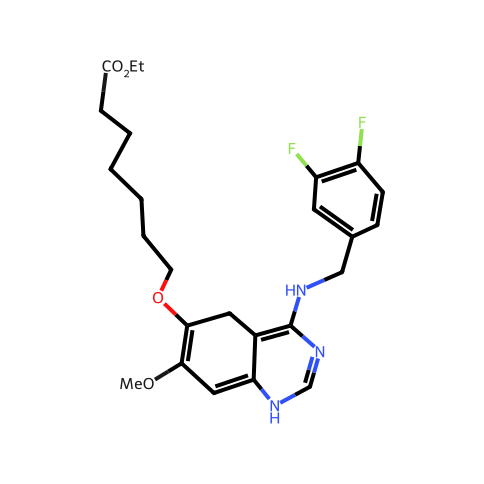 CCOC(=O)CCCCCCOC1=C(OC)C=C2NC=NC(NCc3ccc(F)c(F)c3)=C2C1